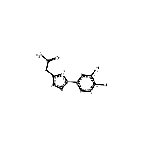 NC(=O)Cc1ccc(-c2ccc(Cl)c(Cl)c2)o1